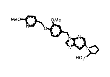 COc1ccc(COc2ccc(Cn3cnc4cc(N5CCCC5C(=O)O)cnc43)cc2OC)cn1